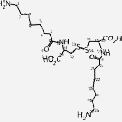 NCCCCCCCC(=O)NC(CSSCC(NC(=O)CCCCCCCN)C(=O)O)C(=O)O